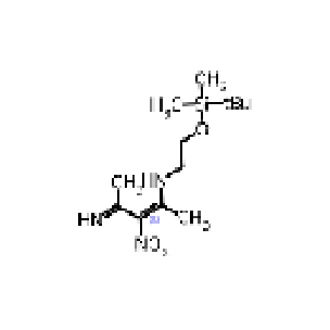 CC(=N)/C(=C(/C)NCCO[Si](C)(C)C(C)(C)C)[N+](=O)[O-]